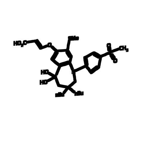 CCCCC1(CCCC)CN(c2ccc(S(C)(=O)=O)cc2)c2cc(SC)c(O/C=C/C(=O)O)cc2S(O)(O)C1